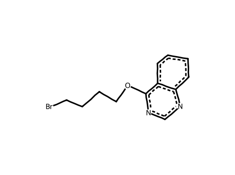 BrCCCCOc1ncnc2ccccc12